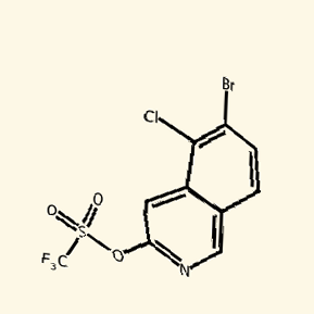 O=S(=O)(Oc1cc2c(Cl)c(Br)ccc2cn1)C(F)(F)F